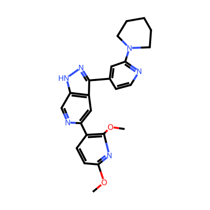 COc1ccc(-c2cc3c(-c4ccnc(N5CCCCC5)c4)n[nH]c3cn2)c(OC)n1